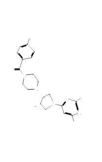 Cc1cc(N2C[C@@H](O)[C@H](N3CCN(C(=O)c4ccc(Cl)cc4)CC3)C2)nc(C)n1